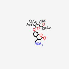 COC(=O)C1OC(Oc2ccc3c(CN)cc(=O)oc3c2)C(OC(C)=O)C(OC(C)=O)C1OC(C)=O